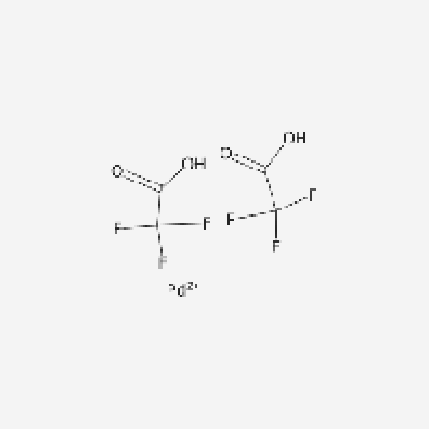 O=C(O)C(F)(F)F.O=C(O)C(F)(F)F.[Pd+2]